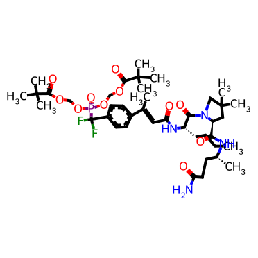 CCCC[C@H](NC(=O)/C=C(\C)c1ccc(C(F)(F)P(=O)(OCOC(=O)C(C)(C)C)OCOC(=O)C(C)(C)C)cc1)C(=O)N1CC(C)(C)C[C@H]1C(=O)N[C@H](C)CCC(N)=O